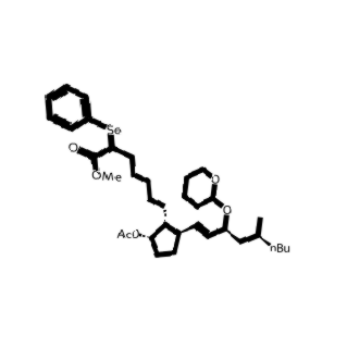 CCCC[C@H](C)C[C@@H](/C=C/[C@H]1CC[C@H](OC(C)=O)[C@@H]1CCCCCC([Se]c1ccccc1)C(=O)OC)OC1CCCCO1